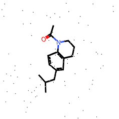 CC(=O)N1CC[CH]c2cc(CC(C)C)ccc21